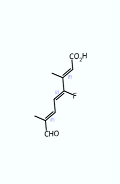 C\C(C=O)=C/C=C(F)/C(C)=C/C(=O)O